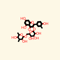 Cc1cc(-c2oc3cc(O)cc(O)c3c(=O)c2OC2OC(COC3OC(C)C(O)C(C)C3O)C(O)C(O)C2O)ccc1O